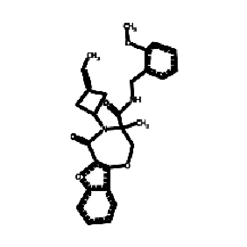 CC=C1CC(N2C(=O)c3oc4ccccc4c3OCC2(C)C(=O)NCc2ccccc2OC)C1